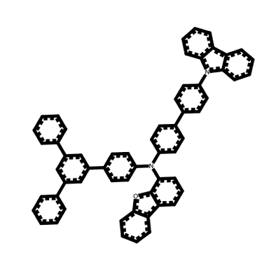 c1ccc(-c2cc(-c3ccccc3)cc(-c3ccc(N(c4ccc(-c5ccc(-n6c7ccccc7c7ccccc76)cc5)cc4)c4cccc5c4oc4ccccc45)cc3)c2)cc1